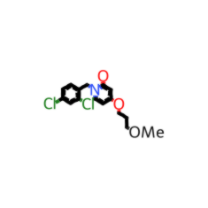 COCCCOc1ccn(Cc2ccc(Cl)cc2Cl)c(=O)c1